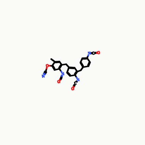 Cc1cc(Cc2ccc(N=C=O)c(Cc3ccc(N=C=O)cc3)c2)c(N=C=O)cc1OC#N